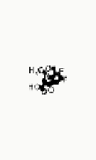 CC1OCc2c(F)c(F)cc3c(=O)c(C(=O)O)cn1c23